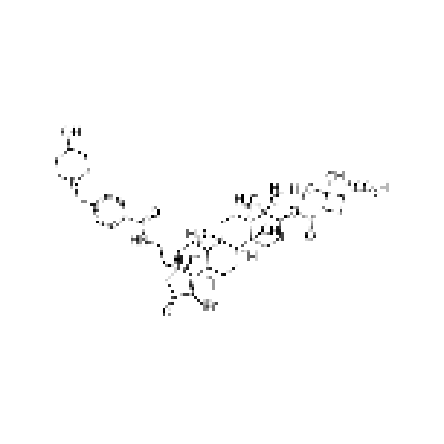 CC(C)C1=C2[C@H]3CC[C@@H]4[C@@]5(C)CC[C@H](OC(=O)[C@H]6C[C@@H](C(=O)O)C6(C)C)C(C)(C)[C@@H]5CC[C@@]4(C)[C@]3(C)CC[C@@]2(CCNC(=O)c2ccc(CN3CCC(O)CC3)cc2)CC1=O